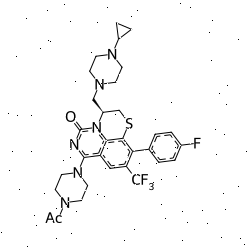 CC(=O)N1CCN(c2nc(=O)n3c4c(c(-c5ccc(F)cc5)c(C(F)(F)F)cc24)SC[C@@H]3CN2CCN(C3CC3)CC2)CC1